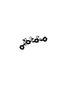 CCOC1(OCc2ccccc2)C=CC(N(Cc2ccc(OCc3ccccc3)c(OC)c2)C(C)=O)=CC1OC